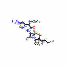 CO/N=C(\C(=O)NC1C(=O)N2C(C(=O)O)=C(/C=C/CI)CS[C@H]12)c1nsc(N)n1